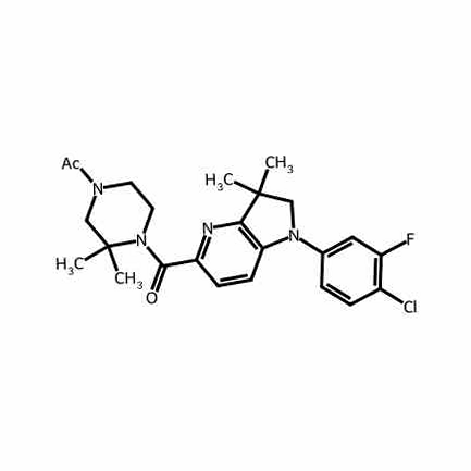 CC(=O)N1CCN(C(=O)c2ccc3c(n2)C(C)(C)CN3c2ccc(Cl)c(F)c2)C(C)(C)C1